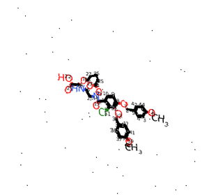 COc1ccc(COc2ccc(C(=O)N(CCNC(=O)C(=O)O)OC3CCCCO3)c(Cl)c2OCc2ccc(OC)cc2)cc1